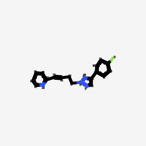 Fc1ccc(-c2cnn(CCC#Cc3ccccn3)n2)cc1